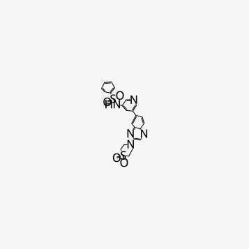 O=S1(=O)CCN(c2cnc3ccc(-c4cncc(NS(=O)(=O)c5ccccc5)c4)cc3n2)CC1